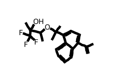 C=C(C)c1ccc(C(C)(C)OC(C)C(C)(O)C(F)(F)F)c2ccccc12